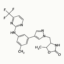 Cc1cc(Nc2nccc(C(F)(F)F)n2)cc(-c2cnn(CC3NC(=O)OC3C)c2)c1